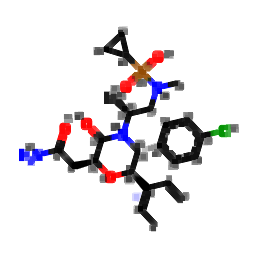 C=C/C(=C\C)[C@H]1O[C@@H](CC(N)=O)C(=O)N([C@@H](CC)CN(C)S(=O)(=O)C2CC2)[C@@H]1c1ccc(Cl)cc1